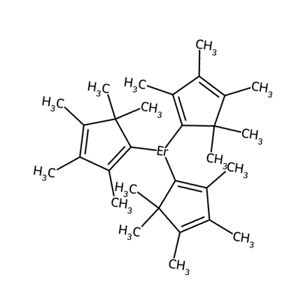 CC1=C(C)C(C)(C)[C]([Er]([C]2=C(C)C(C)=C(C)C2(C)C)[C]2=C(C)C(C)=C(C)C2(C)C)=C1C